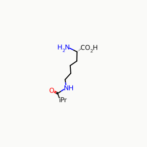 CC(C)C(=O)NCCCC[C@H](N)C(=O)O